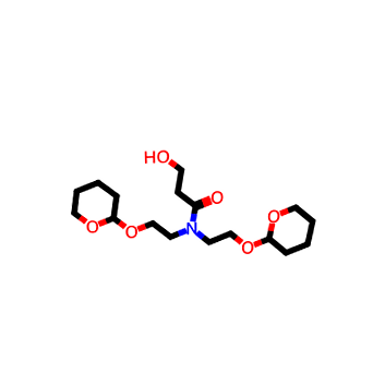 O=C(CCO)N(CCOC1CCCCO1)CCOC1CCCCO1